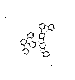 c1ccc(-c2cccc(-c3ccccc3)c2-c2ccc3c4c5sc6ccccc6c5cc5c6cc7c(cc6n(c3c2)c54)c2cccc3c4ccccc4n7c32)cc1